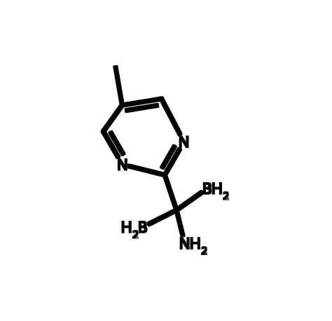 BC(B)(N)c1ncc(C)cn1